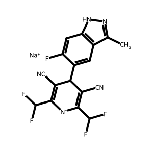 Cc1n[nH]c2cc(F)c(C3C(C#N)=C(C(F)F)[N-]C(C(F)F)=C3C#N)cc12.[Na+]